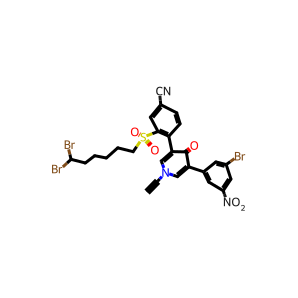 C#Cn1cc(-c2cc(Br)cc([N+](=O)[O-])c2)c(=O)c(-c2ccc(C#N)cc2S(=O)(=O)CCCCCC(Br)Br)c1